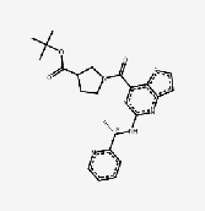 C[C@H](Nc1nc(C(=O)N2CCC(C(=O)OC(C)(C)C)C2)c2sccc2n1)c1ccccn1